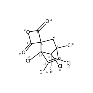 O=C1OC(=O)C12CC1(Cl)C(Cl)=C(Cl)C2(Cl)C1(Cl)Cl